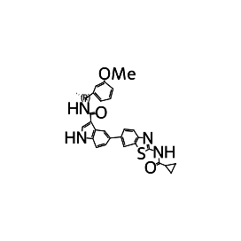 COc1cccc([C@@H](C)NC(=O)c2c[nH]c3ccc(-c4ccc5nc(NC(=O)C6CC6)sc5c4)cc23)c1